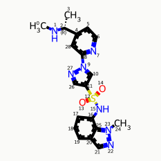 CN[C@H](C)c1ccnc(-n2cc(S(=O)(=O)Nc3cccc4cnn(C)c34)cn2)c1